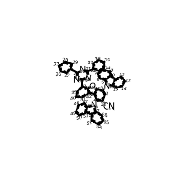 N#Cc1cc(-n2c3ccccc3c3ccccc32)c2oc3c(-c4nc(-c5ccccc5)nc(-c5ccccc5)n4)cccc3c2c1-n1c2ccccc2c2ccccc21